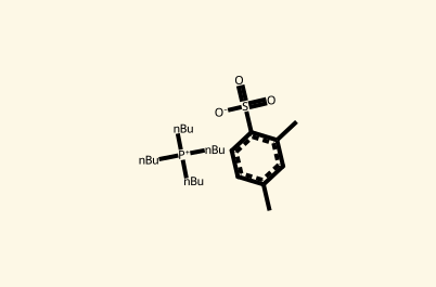 CCCC[P+](CCCC)(CCCC)CCCC.Cc1ccc(S(=O)(=O)[O-])c(C)c1